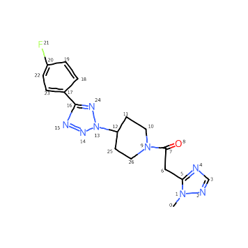 Cn1ncnc1CC(=O)N1CCC(n2nnc(-c3ccc(F)cc3)n2)CC1